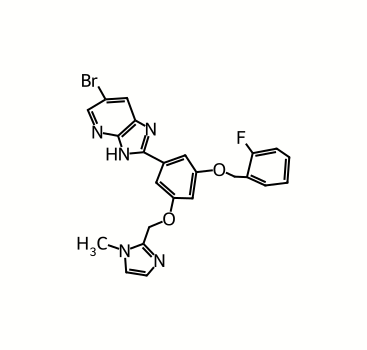 Cn1ccnc1COc1cc(OCc2ccccc2F)cc(-c2nc3cc(Br)cnc3[nH]2)c1